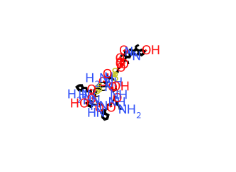 CCc1c2c(nc3ccc(O)cc13)-c1cc3c(c(=O)n1C2)COC(=O)[C@@]3(CC)OC(=O)OCCSSC(C)(C)[C@H](NC(=O)[C@@H]1CSSC[C@H](NC(=O)[C@H](N)Cc2ccccc2)C(=O)N[C@@H](Cc2ccc(O)cc2)C(=O)N[C@H](Cc2c[nH]c3ccccc23)C(=O)N[C@@H](CCCCN)C(=O)N[C@@H]([C@@H](C)O)C(=O)N1)C(N)=O